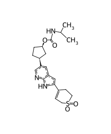 CC(C)NC(=O)O[C@@H]1CC[C@H](c2cnc3[nH]c(C4=CCS(=O)(=O)CC4)cc3c2)C1